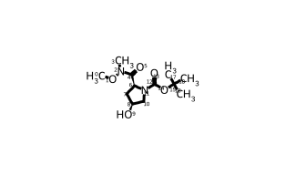 CON(C)C(=O)[C@@H]1C[C@H](O)CN1C(=O)OC(C)(C)C